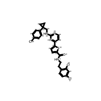 O=C(NCCc1ccc(Cl)cc1Cl)c1ccc(-c2ccnc(NCC3(c4ccc(Cl)cc4)CC3)n2)s1